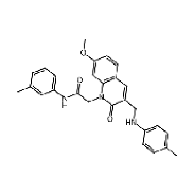 COc1ccc2cc(CNc3ccc(C)cc3)c(=O)n(CC(=O)Nc3cccc(C)c3)c2c1